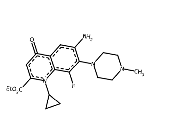 CCOC(=O)c1cc(=O)c2cc(N)c(N3CCN(C)CC3)c(F)c2n1C1CC1